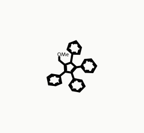 COCC1=C(c2ccccc2)C(c2ccccc2)=C(c2ccccc2)C1c1ccccc1